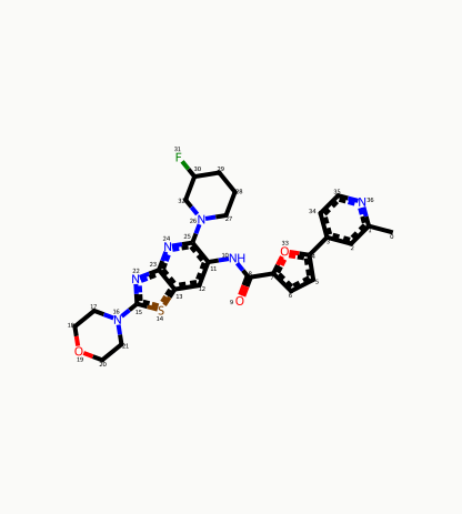 Cc1cc(-c2ccc(C(=O)Nc3cc4sc(N5CCOCC5)nc4nc3N3CCCC(F)C3)o2)ccn1